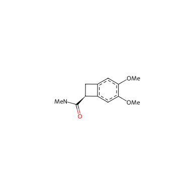 CNC(=O)[C@H]1Cc2cc(OC)c(OC)cc21